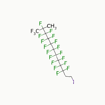 CC(F)(C(F)(F)F)C(F)(F)C(F)(F)C(F)(F)C(F)(F)C(F)(F)C(F)(F)C(F)(F)C(F)(F)CCI